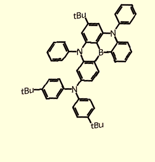 CC(C)(C)c1ccc(N(c2ccc(C(C)(C)C)cc2)c2ccc3c(c2)N(c2ccccc2)c2cc(C(C)(C)C)cc4c2B3c2ccccc2N4c2ccccc2)cc1